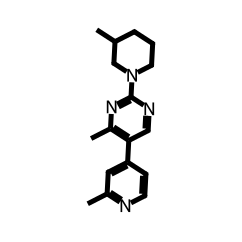 Cc1cc(-c2cnc(N3CCCC(C)C3)nc2C)ccn1